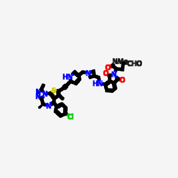 CNC(=O)C(CCC=O)N1C(=O)c2cccc(NCC3CN(CC4=CNC(C#Cc5sc6c(c5C)C(c5ccc(Cl)cc5)=N[C@@H](C)c5nnc(C)n5-6)C=C4)C3)c2C1=O